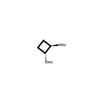 CN[C@@H]1CC[C@H]1NC